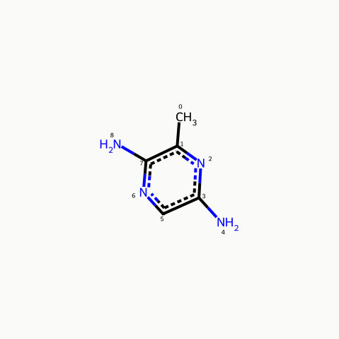 Cc1nc(N)cnc1N